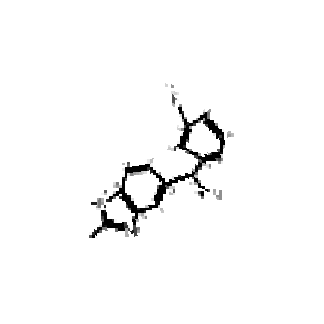 Cc1nc2cc(C(C#N)c3cccc(F)c3)ccc2[nH]1